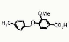 COc1cc(C(=O)O)ccc1OCc1ccc(C)cc1